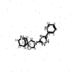 c1ccc(-c2nnc(N3CO[C@]4(CN5CCC4CC5)C3)s2)nc1